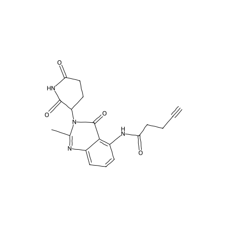 C#CCCC(=O)Nc1cccc2nc(C)n(C3CCC(=O)NC3=O)c(=O)c12